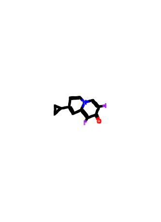 O=c1c(I)cn2ccc(C3CC3)cc2c1I